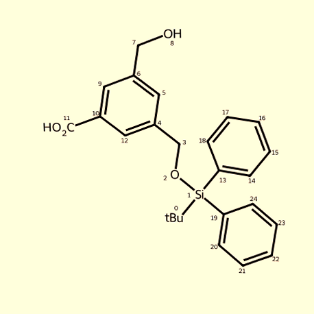 CC(C)(C)[Si](OCc1cc(CO)cc(C(=O)O)c1)(c1ccccc1)c1ccccc1